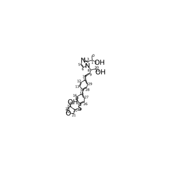 CC(O)c1nccn1C(/C=C/c1ccc(-c2ccc(SC3COCC3O)cc2)cc1)CO